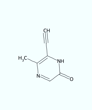 C#Cc1[nH]c(=O)cnc1C